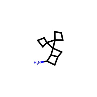 NC1CC2CC3(C12)C1(CCC1)C31CCC1